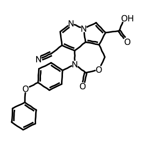 N#Cc1cnn2cc(C(=O)O)c3c2c1N(c1ccc(Oc2ccccc2)cc1)C(=O)OC3